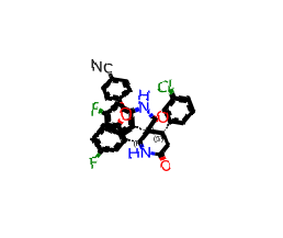 N#Cc1ccc(Oc2ccc(F)cc2[C@H]2NC(=O)C[C@@H](c3cccc(Cl)c3)[C@]23C(=O)Nc2cc(F)ccc23)cc1